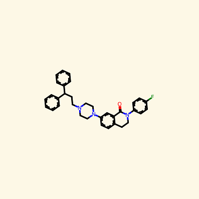 O=C1c2cc(N3CCN(CCC(c4ccccc4)c4ccccc4)CC3)ccc2CCN1c1ccc(F)cc1